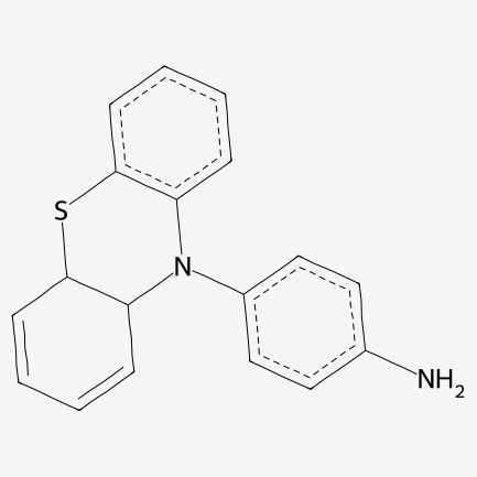 Nc1ccc(N2c3ccccc3SC3C=CC=CC32)cc1